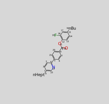 CCCCCCCc1ccc(-c2ccc(C(=O)Oc3ccc(CCCC)cc3F)cc2)nc1